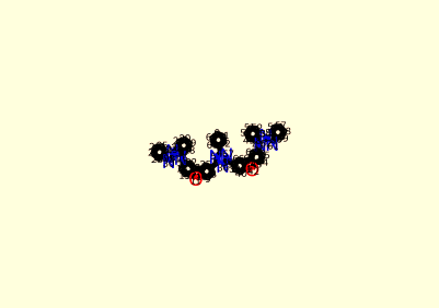 c1ccc(-c2nc(-c3ccc4oc5ccc(-n6c7ccccc7n7c8ccccc8nc67)cc5c4c3)nc(-c3ccc4oc5ccc(-n6c7ccccc7n7c8ccccc8nc67)cc5c4c3)n2)cc1